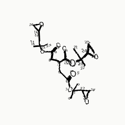 CC(C)(OC(=O)CC(CC(=O)OC(C)(C)C1CO1)C(=O)OC(C)(C)C1CO1)C1CO1